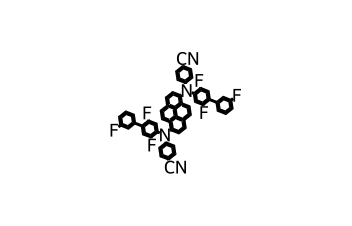 N#Cc1ccc(N(c2cc(F)c(-c3cccc(F)c3)cc2F)c2ccc3ccc4c(N(c5ccc(C#N)cc5)c5cc(F)c(-c6cccc(F)c6)cc5F)ccc5ccc2c3c54)cc1